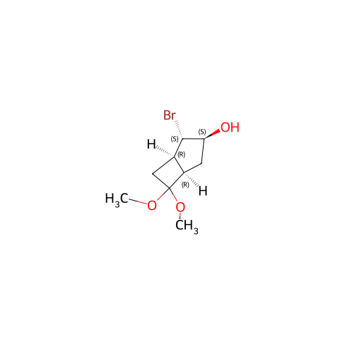 COC1(OC)C[C@H]2[C@H](Br)[C@@H](O)C[C@H]21